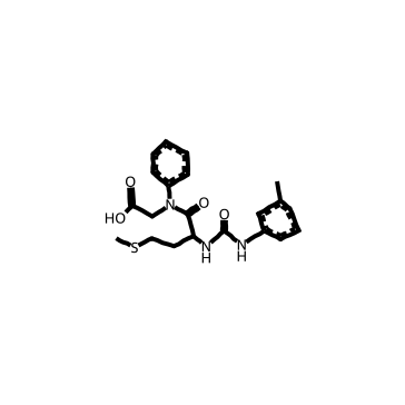 CSCCC(NC(=O)Nc1cccc(C)c1)C(=O)N(CC(=O)O)c1ccccc1